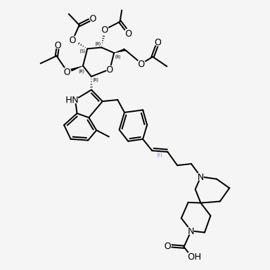 CC(=O)OC[C@H]1O[C@H](c2[nH]c3cccc(C)c3c2Cc2ccc(/C=C/CCN3CCCC4(CCN(C(=O)O)CC4)C3)cc2)[C@@H](OC(C)=O)[C@H](OC(C)=O)[C@@H]1OC(C)=O